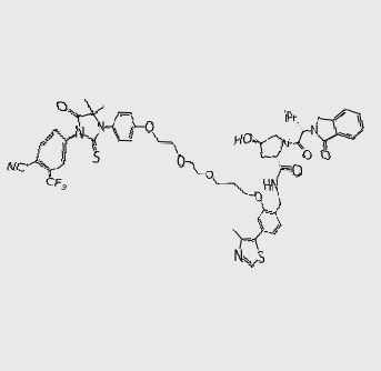 Cc1ncsc1-c1ccc(CNC(=O)[C@@H]2C[C@@H](O)CN2C(=O)[C@H](C(C)C)N2Cc3ccccc3C2=O)c(OCCCOCCOCCOc2ccc(N3C(=S)N(c4ccc(C#N)c(C(F)(F)F)c4)C(=O)C3(C)C)cc2)c1